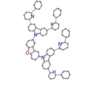 c1ccc(-c2cccc(-c3ccc4c(c3)c3cc(-c5cccc(-c6ccccc6)n5)ccc3n4-c3ccc4oc5ccc(-n6c7ccc(-c8cccc(-c9ccccc9)n8)cc7c7cc(-c8cccc(-c9ccccc9)n8)ccc76)cc5c4c3)n2)cc1